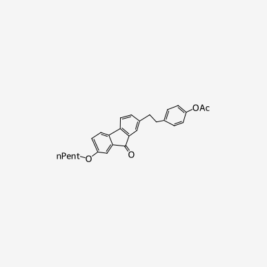 CCCCCOc1ccc2c(c1)C(=O)c1cc(CCc3ccc(OC(C)=O)cc3)ccc1-2